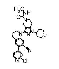 CNC(=O)N1CCc2c(c(N3CCCc4cc(-c5ccnc(Cl)n5)c(C#N)cc43)nn2C2CCOCC2)C1